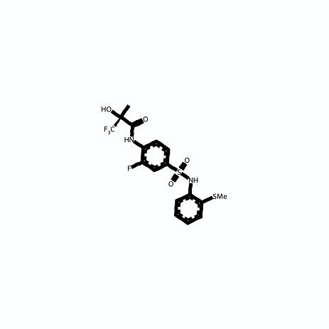 CSc1ccccc1NS(=O)(=O)c1ccc(NC(=O)[C@@](C)(O)C(F)(F)F)c(F)c1